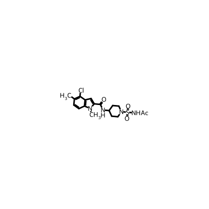 CC(=O)NS(=O)(=O)N1CCC(NC(=O)c2cc3c(Cl)c(C)ccc3n2C)CC1